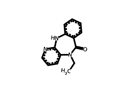 CCN1C(=O)c2ccccc2Nc2ncccc21